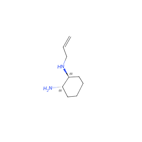 C=CCN[C@H]1CCCC[C@@H]1N